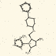 C[C@@H]1C[C@H](N)[C@H](COC2CCC(c3ccccc3)CC2)N1c1nnnn1C